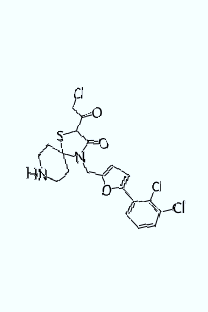 O=C(CCl)C1SC2(CCNCC2)N(Cc2ccc(-c3cccc(Cl)c3Cl)o2)C1=O